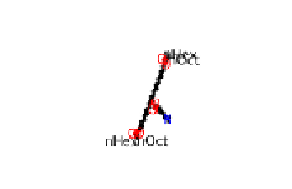 CCCCCCCCC(CCCCCC)C(=O)OCCCCCCCCCCCC(CCCCCCCCCOC(=O)C(CCCCCC)CCCCCCCC)OC(=O)CCCCN(C)C